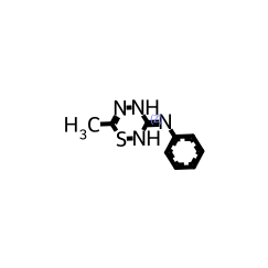 CC1=NN/C(=N/c2ccccc2)NS1